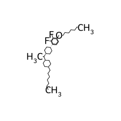 CCCCCCCOc1ccc([C@H]2CC[C@H](C(C)C3CCC(CCCCCCC)CC3)CC2)c(F)c1F